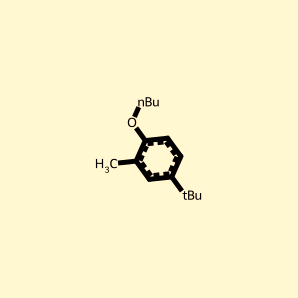 CCCCOc1ccc(C(C)(C)C)cc1C